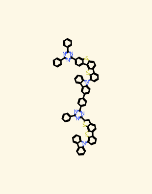 c1ccc(-c2nc(-c3ccccc3)nc(-c3ccc4c(c3)sc3ccc5c6cccc(-n7c8ccccc8c8cc(-c9ccc(-c%10nc(-c%11ccccc%11)nc(C%11Cc%12ccc%13c(sc%14c(-n%15c%16ccccc%16c%16ccccc%16%15)cccc%14%13)c%12S%11)n%10)cc9)ccc87)c6sc5c34)n2)cc1